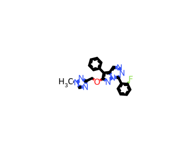 Cn1cnc(COc2nn3c(-c4ccccc4F)nncc3c2-c2ccccc2)n1